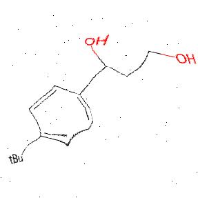 CC(C)(C)c1ccc(C(O)CCO)cc1